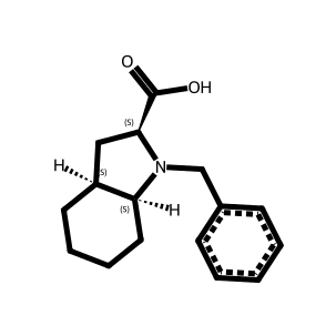 O=C(O)[C@@H]1C[C@@H]2CCCC[C@@H]2N1Cc1ccccc1